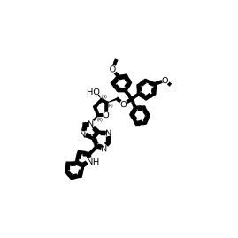 COc1ccc(C(OC[C@H]2O[C@@H](n3cnc4c(-c5cc6ccccc6[nH]5)ncnc43)C[C@@H]2O)(c2ccccc2)c2ccc(OC)cc2)cc1